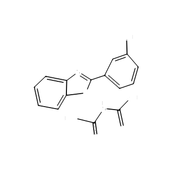 CC(=O)NC(C)=O.Cc1cccc(-c2nc3ccccc3s2)c1